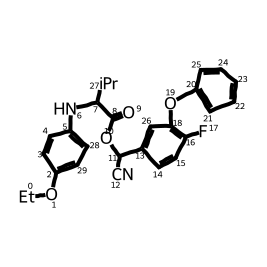 CCOc1ccc(NC(C(=O)OC(C#N)c2ccc(F)c(Oc3ccccc3)c2)C(C)C)cc1